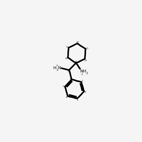 NC(c1ccccc1)C1(N)CCCCC1